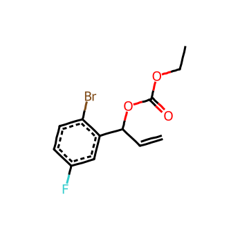 C=CC(OC(=O)OCC)c1cc(F)ccc1Br